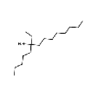 CCCCCCCCC(N)(CC)CCCCC